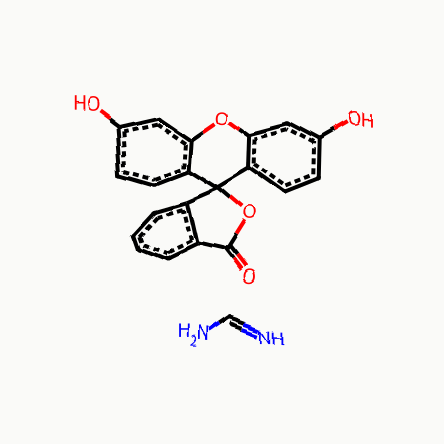 N=CN.O=C1OC2(c3ccc(O)cc3Oc3cc(O)ccc32)c2ccccc21